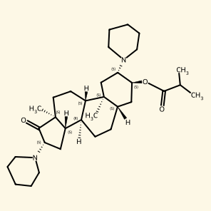 CC(C)C(=O)O[C@H]1C[C@@H]2CC[C@@H]3[C@H](CC[C@]4(C)C(=O)[C@@H](N5CCCCC5)C[C@@H]34)[C@@]2(C)C[C@@H]1N1CCCCC1